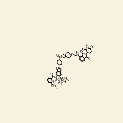 Cc1cccc(C(=O)Nc2cc3sc([C@H]4CC[C@H](C(=O)N5CC6(CCN(CCNc7cccc8c7C(=O)N(C7CCC(=O)NC7=O)C8=O)CC6)C5)CC4)nc3cc2C(C)(C)O)n1